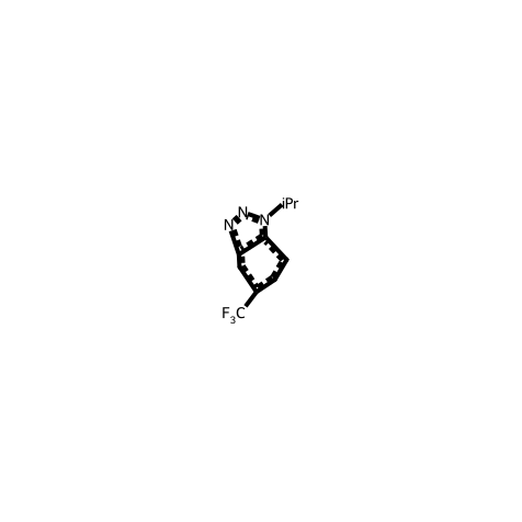 CC(C)n1nnc2cc(C(F)(F)F)ccc21